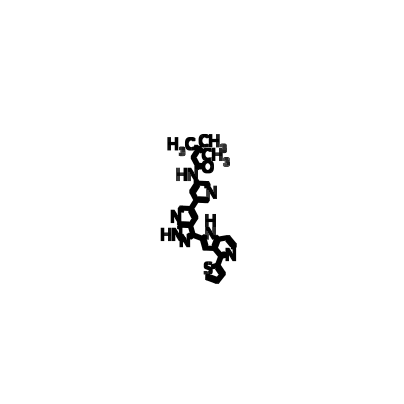 CC(C)(C)CC(=O)Nc1cncc(-c2cnc3[nH]nc(-c4cc5c(-c6cccs6)nccc5[nH]4)c3c2)c1